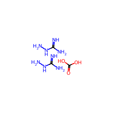 N=C(N)NN.N=C(N)NN.O=C(O)O